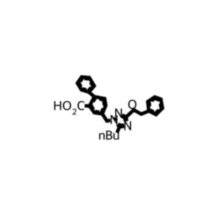 CCCCc1nc(C(=O)Cc2ccccc2)nn1Cc1ccc(-c2ccccc2)c(C(=O)O)c1